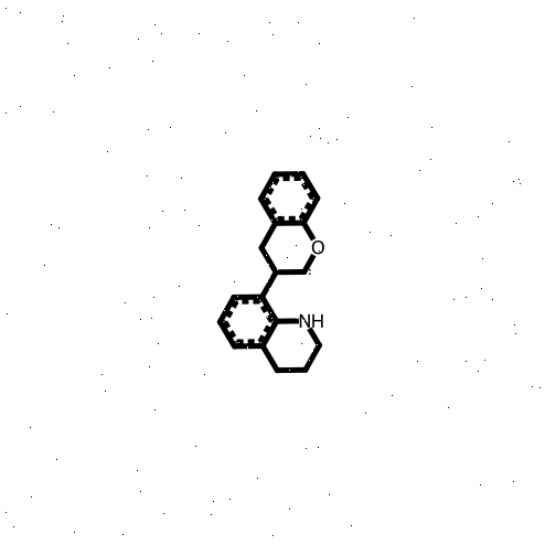 [C]1Oc2ccccc2CC1c1cccc2c1NCCC2